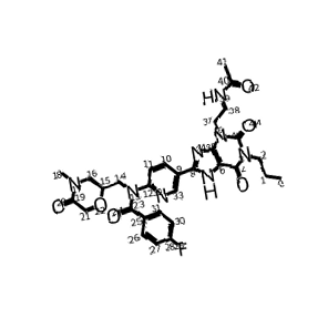 CCCn1c(=O)c2[nH]c(-c3ccc(N(CC4CN(C)C(=O)CO4)C(=O)c4ccc(F)cc4)nc3)nc2n(CCNC(C)=O)c1=O